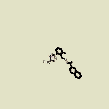 CC(=NOCc1c(C)cccc1N/N=N\N(C)C=O)c1ccc2ccccc2c1